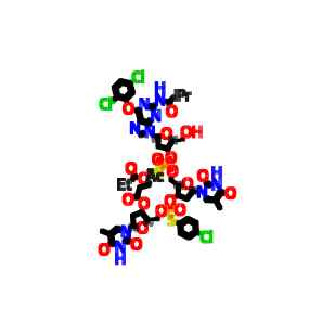 CCC(=O)OCSP(=O)(OC[C@H]1O[C@@H](n2cc(C)c(=O)[nH]c2=O)CC1OP(=O)(OC[C@H]1O[C@@H](n2cc(C)c(=O)[nH]c2=O)CC1OC(=O)CCC(C)=O)Sc1ccc(Cl)cc1)OC1C[C@H](n2cnc3c(Oc4cc(Cl)ccc4Cl)nc(NC(=O)C(C)C)nc32)O[C@@H]1CO